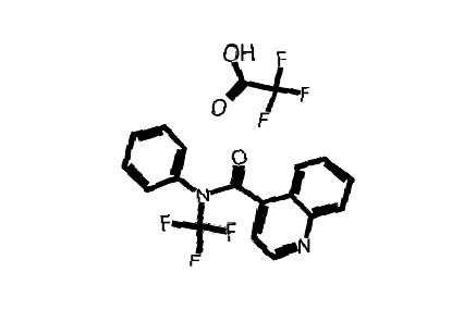 O=C(O)C(F)(F)F.O=C(c1ccnc2ccccc12)N(c1ccccc1)C(F)(F)F